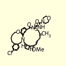 CO[C@H]1/C=C/C[C@H](C)CS(=O)(NC(=O)N2CCOCC2)=NC(=O)c2ccc3c(c2)N(Cc2ccc(Cl)cc2CCCCO3)C[C@@H]2CC[C@H]21